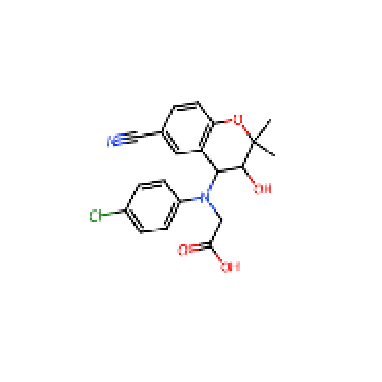 CC1(C)Oc2ccc(C#N)cc2C(N(CC(=O)O)c2ccc(Cl)cc2)C1O